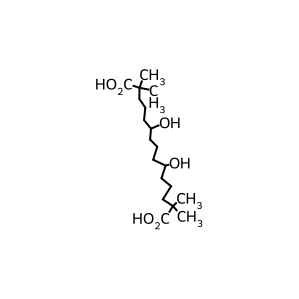 CC(C)(CCCC(O)CCCC(O)CCCC(C)(C)C(=O)O)C(=O)O